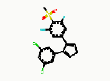 CS(=O)(=O)c1c(F)cc(C2=CCC=C2c2cc(Cl)cc(Cl)c2)cc1F